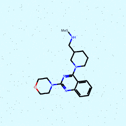 CSNCC1CCCN(c2nc(N3CCOCC3)nc3ccccc23)C1